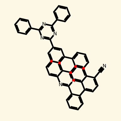 N#Cc1ccc(-c2ccccc2-c2nc(-c3ccccc3-c3cccc(-c4nc(-c5ccccc5)nc(-c5ccccc5)n4)c3)c3ccccc3n2)c2ccccc12